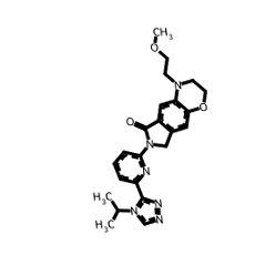 COCCN1CCOc2cc3c(cc21)C(=O)N(c1cccc(-c2nncn2C(C)C)n1)C3